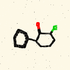 O=C1C(Cl)CCCC1c1ccccc1